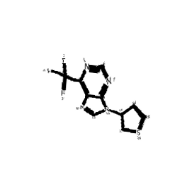 FC(F)(F)c1ncnc2c1ncn2C1CCSC1